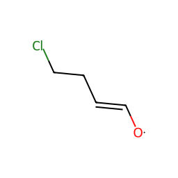 [O]C=CCCCl